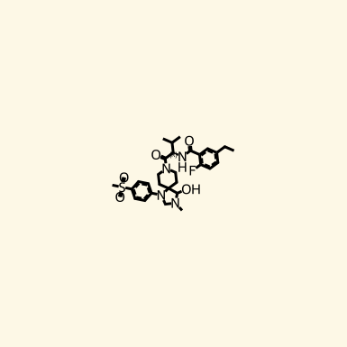 CCc1ccc(F)c(C(=O)N[C@@H](C(=O)N2CCC3(CC2)C(O)N(C)CN3c2ccc(S(C)(=O)=O)cc2)C(C)C)c1